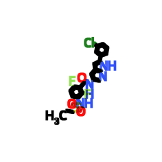 CCCS(=O)(=O)Nc1ccc(F)c(C(=O)Nc2cnc3[nH]c(-c4cccc(Cl)c4)cc3c2)c1F